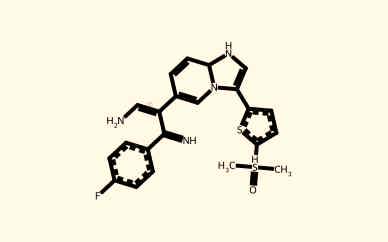 C[SH](C)(=O)c1ccc(C2=CNC3C=CC(/C(=C/N)C(=N)c4ccc(F)cc4)=CN23)s1